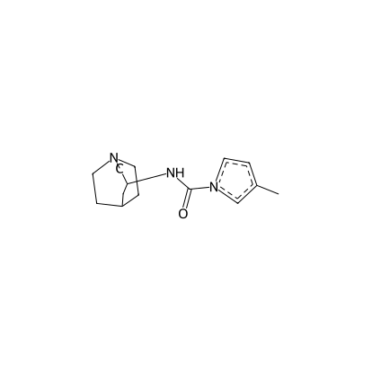 Cc1ccn(C(=O)NC2CC3CCN(CC3)C2)c1